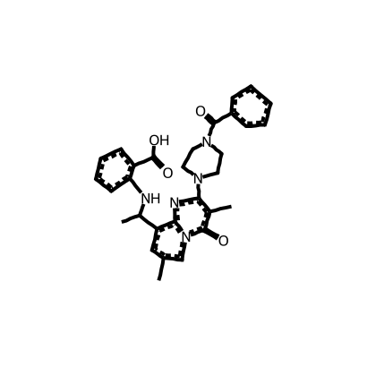 Cc1cc(C(C)Nc2ccccc2C(=O)O)c2nc(N3CCN(C(=O)c4ccccc4)CC3)c(C)c(=O)n2c1